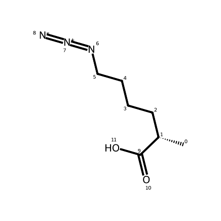 C[C@@H](CCCCN=[N+]=[N-])C(=O)O